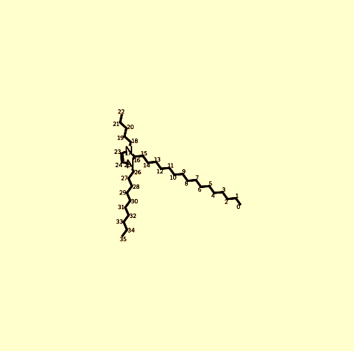 CCCCCCCCCCCCCCCCC1N(CCCCC)C=CN1CCCCCCCCCC